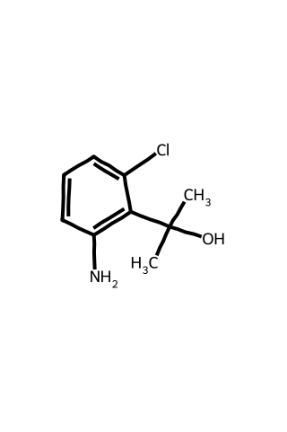 CC(C)(O)c1c(N)cccc1Cl